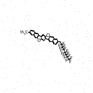 Cc1ccc2cc3c(cc2c1)oc1cc2c(cc13)oc1cc3cc(CC(F)(F)C(F)(F)C(F)(F)C(F)(F)C(F)(F)C(F)(F)C(F)(F)F)ccc3cc12